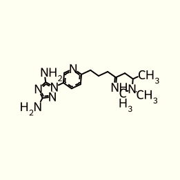 CC(CC(=N)CCCc1ccc(-n2nc(N)nc2N)cn1)N(C)C